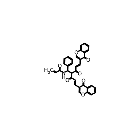 C=CC(=O)NC(c1ccccc1)C(C(=O)C=Cc1coc2ccccc2c1=O)C(=O)C=Cc1coc2ccccc2c1=O